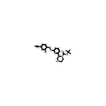 CC(C)(C)OC(=O)N1CCNCC1c1cccc(OCc2ccc(C#N)cc2F)n1